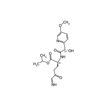 COc1ccc([C@H](O)C(=O)N[C@@H](CCC(=O)C=N)C(=O)OC(C)C)nc1